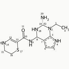 CCN1c2[nH]ccc2C(NC(=O)C2=CNCCS2)N[C@@H]1N